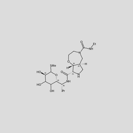 CCNC(=O)N1CCO[C@@H]2[C@H](CN[C@@H]2C(=O)N[C@H](C(C)C)[C@H]2OC(SC)[C@H](O)C(O)C2O)C1